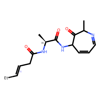 CC/C=C/CC(=O)N[C@@H](C)C(=O)NC1C=CC=NC(C)C1=O